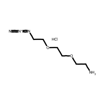 Cl.[N-]=[N+]=NCCOCCOCCN